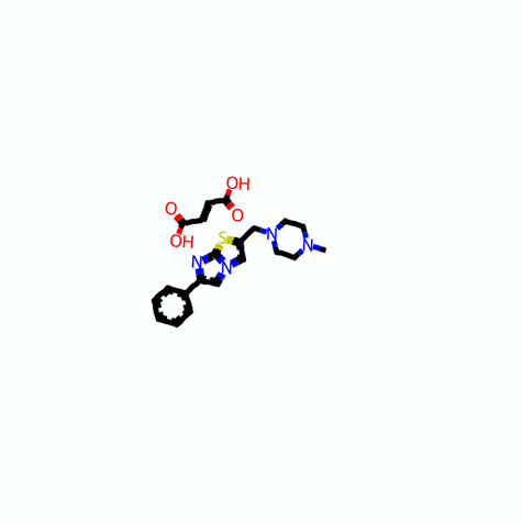 CN1CCN(Cc2cn3cc(-c4ccccc4)nc3s2)CC1.O=C(O)C=CC(=O)O